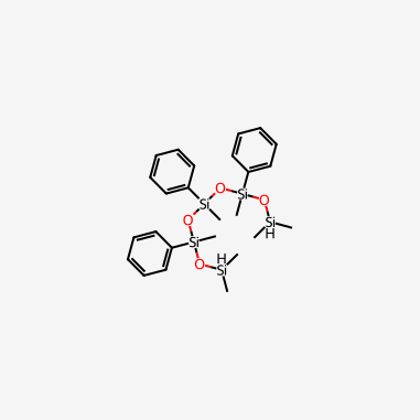 C[SiH](C)O[Si](C)(O[Si](C)(O[Si](C)(O[SiH](C)C)c1ccccc1)c1ccccc1)c1ccccc1